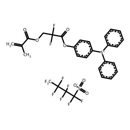 C=C(C)C(=O)OCC(F)(F)C(=O)Oc1ccc([S+](c2ccccc2)c2ccccc2)cc1.O=S(=O)([O-])C(F)(F)C(F)(F)C(F)(F)C(F)(F)F